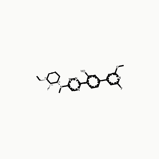 CC[C@@H]1CCC[C@H](N(C)c2cnc(-c3ccc(-c4cc(F)nc(OC)c4)cc3O)nn2)[C@@H]1F